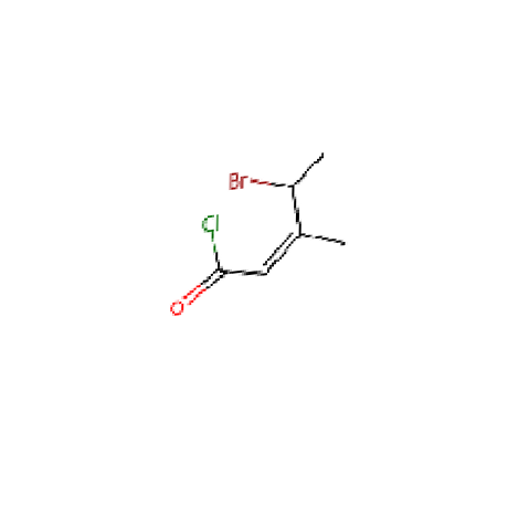 C/C(=C/C(=O)Cl)C(C)Br